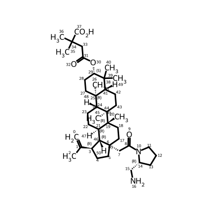 C=C(C)[C@@H]1CC[C@]2(CC(=O)N3CCC[C@@H]3CN)CC[C@]3(C)[C@H](CC[C@@H]4[C@@]5(C)CC[C@H](OC(=O)CC(C)(C)C(=O)O)C(C)(C)[C@@H]5CC[C@]43C)[C@@H]12